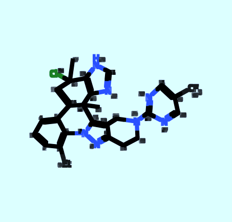 CCc1cccc2c1-n1nc3c(c1C1(C)C2=CC(C)(Cl)c2[nH]cnc21)CN(c1ncc(C(F)(F)F)cn1)CC3